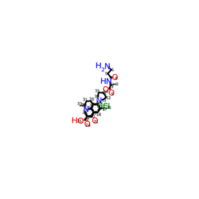 C[C@H](NC(=O)CCN)C(=O)OC1CCN(c2c(F)cc3c(=O)c(C(=O)O)cn4c3c2CC[C@@H]4C)CC1.Cl